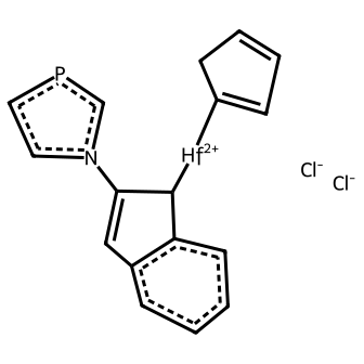 C1=CC[C]([Hf+2][CH]2C(n3ccpc3)=Cc3ccccc32)=C1.[Cl-].[Cl-]